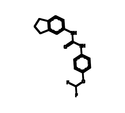 O=C(Nc1ccc(OC(F)F)cc1)Nc1ccc2c(c1)CCC2